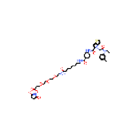 CCN(C(=O)Cn1c(C(=O)N[C@H]2CC[C@H](C(=O)NCCCCCCCC(=O)NCCOCCOCCOCCC(=O)ON3C(=O)CCC3=O)CC2)cc2sccc21)c1cccc(C)c1